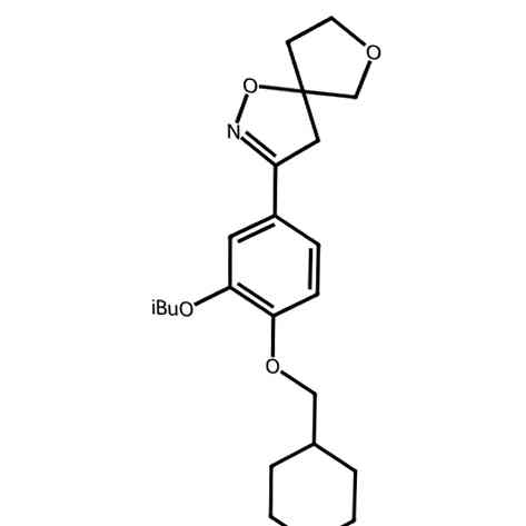 CC(C)COc1cc(C2=NOC3(CCOC3)C2)ccc1OCC1CCCCC1